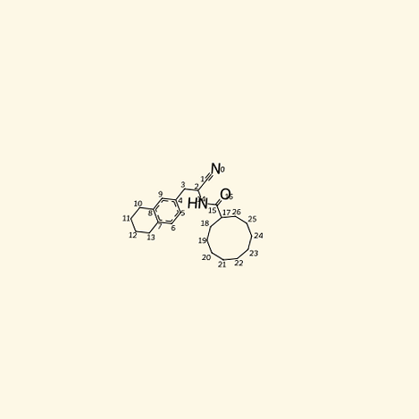 N#CC(Cc1ccc2c(c1)CCCC2)NC(=O)C1CCCCCCCCC1